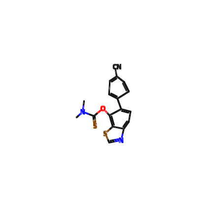 CN(C)C(=S)Oc1c(-c2ccc(C#N)cc2)ccc2ncsc12